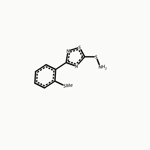 CSc1ccccc1-c1nsc(SN)n1